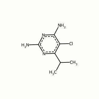 CC(C)c1nc(N)nc(N)c1Cl